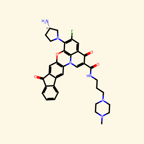 CN1CCN(CCCNC(=O)c2cn3c4cc5c(cc4oc4c(N6CC[C@H](N)C6)c(F)cc(c2=O)c43)c(=O)c2ccccc25)CC1